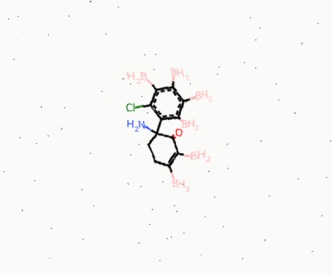 BC1=C(B)C(=O)C(N)(c2c(B)c(B)c(B)c(B)c2Cl)CC1